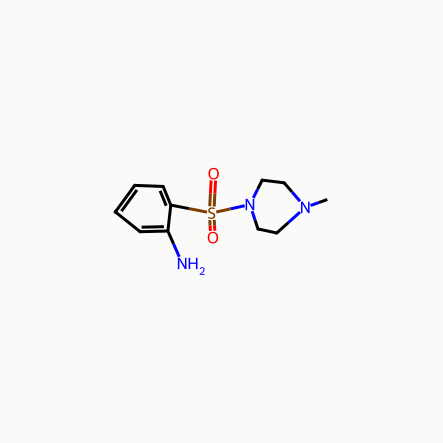 CN1CCN(S(=O)(=O)c2ccccc2N)CC1